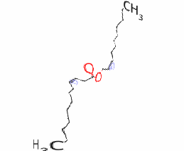 CCCCCCCC/C=C\COC(=O)C/C=C\CCCCCCCC